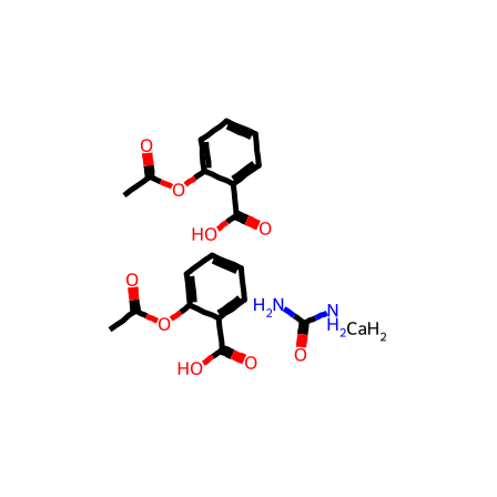 CC(=O)Oc1ccccc1C(=O)O.CC(=O)Oc1ccccc1C(=O)O.NC(N)=O.[CaH2]